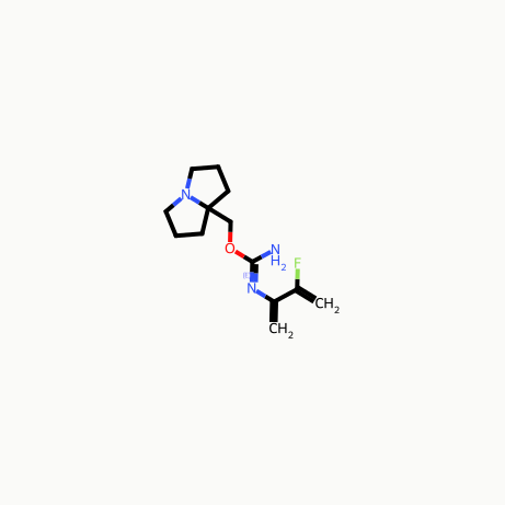 C=C(F)C(=C)/N=C(\N)OCC12CCCN1CCC2